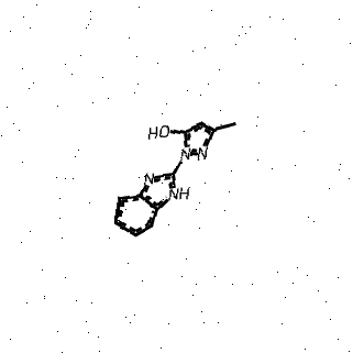 Cc1cc(O)n(-c2nc3ccccc3[nH]2)n1